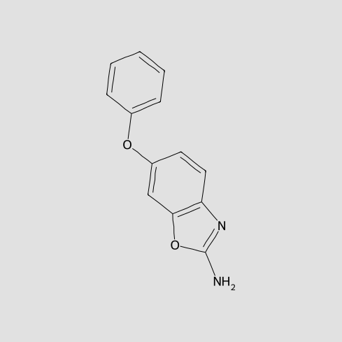 Nc1nc2ccc(Oc3ccccc3)cc2o1